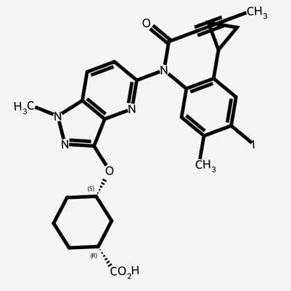 CC#CC(=O)N(c1ccc2c(n1)c(O[C@H]1CCC[C@@H](C(=O)O)C1)nn2C)c1cc(C)c(I)cc1C1CC1